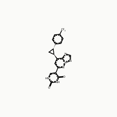 O=c1[nH]cc(-c2cc([C@H]3C[C@@H]3c3ccc(C(F)(F)F)cc3)c3ncnn3n2)c(=O)[nH]1